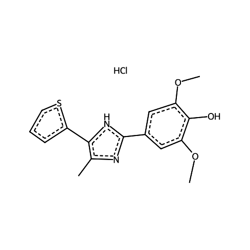 COc1cc(-c2nc(C)c(-c3cccs3)[nH]2)cc(OC)c1O.Cl